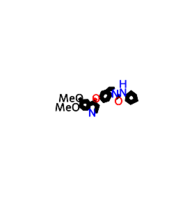 COc1cc2nccc(Oc3ccc4c(ccn4C(=O)Nc4ccccc4)c3)c2cc1OC